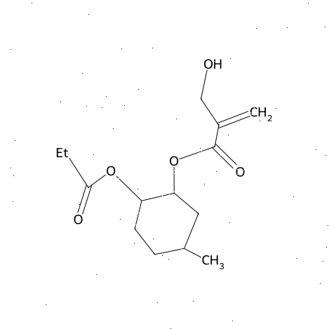 C=C(CO)C(=O)OC1CC(C)CCC1OC(=O)CC